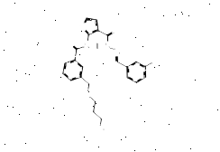 O=C(Nc1sccc1C(=O)N/N=C/c1cccc(F)c1)c1cccc(CSCCCO)c1